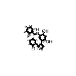 Oc1cc(O)c(-c2ccnn2-c2ccccc2Cl)cc1NCc1ccccc1F